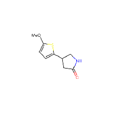 COc1ccc(C2CNC(=O)C2)s1